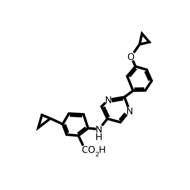 O=C(O)c1cc(C2CC2)ccc1Nc1cnc(-c2cccc(OC3CC3)c2)nc1